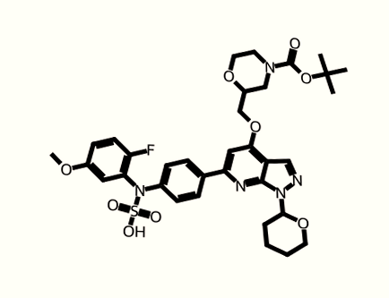 COc1ccc(F)c(N(c2ccc(-c3cc(OCC4CN(C(=O)OC(C)(C)C)CCO4)c4cnn(C5CCCCO5)c4n3)cc2)S(=O)(=O)O)c1